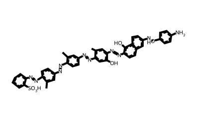 Cc1cc(N=Nc2cc(O)c(N=Nc3ccc4cc(NOc5ccc(N)cc5)ccc4c3O)cc2C)ccc1N=Nc1ccc(N=Nc2ccccc2S(=O)(=O)O)c(C)c1